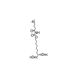 CCCCCCCCCCC(CCCCCCCCCC)CCCCCCCOC(=O)NC(=O)CCCN(C)C